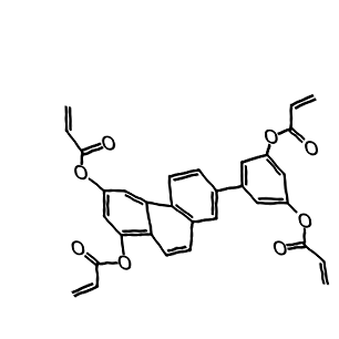 C=CC(=O)Oc1cc(OC(=O)C=C)cc(-c2ccc3c(ccc4c(OC(=O)C=C)cc(OC(=O)C=C)cc43)c2)c1